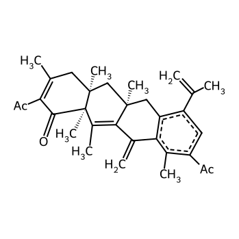 C=C(C)c1cc(C(C)=O)c(C)c2c1C[C@]1(C)C[C@]3(C)CC(C)=C(C(C)=O)C(=O)[C@]3(C)C(C)=C1C2=C